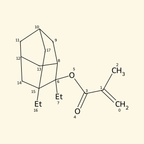 C=C(C)C(=O)OC1(CC)C2CC3CC(C2)CC1(CC)C3